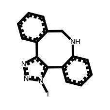 In1nnc2c1-c1ccccc1NCc1ccccc1-2